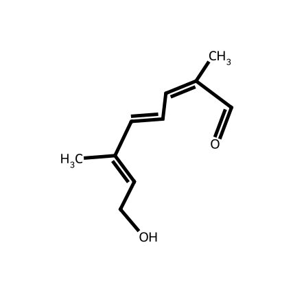 CC(C=O)=CC=CC(C)=CCO